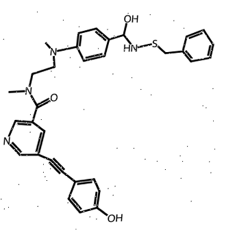 CN(CCN(C)c1ccc(C(O)NSCc2ccccc2)cc1)C(=O)c1cncc(C#Cc2ccc(O)cc2)c1